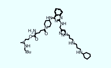 CCC(C)CNP(C)CCOC(=O)[C@@H](N)CCC(=O)N1CCC(Nc2nc(NCc3cn(CCCNCCCNC4CCCCC4)nn3)nc3ccccc23)CC1